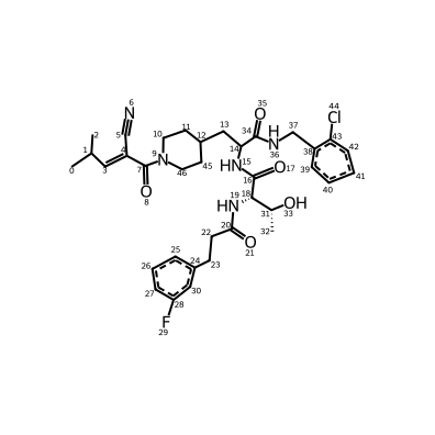 CC(C)C=C(C#N)C(=O)N1CCC(CC(NC(=O)[C@@H](NC(=O)CCc2cccc(F)c2)[C@@H](C)O)C(=O)NCc2ccccc2Cl)CC1